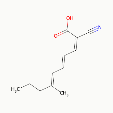 CCCC(C)=CC=CC=C(C#N)C(=O)O